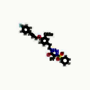 COc1cc(CCNC(=O)[C@@H](NS(=O)(=O)C2CCCCC2)C(C)C)ccc1OCC#Cc1ccc(F)cc1